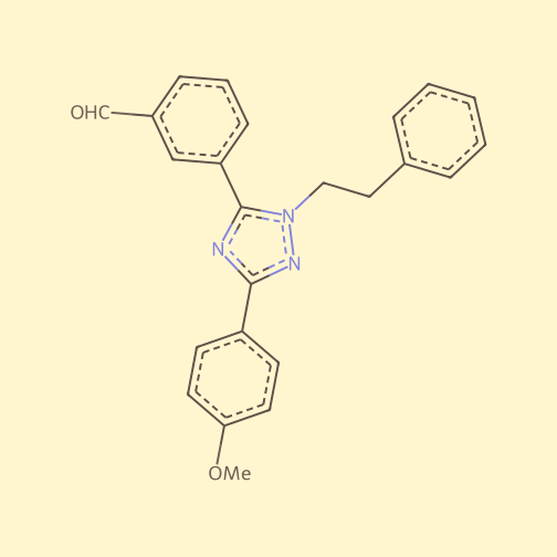 COc1ccc(-c2nc(-c3cccc(C=O)c3)n(CCc3ccccc3)n2)cc1